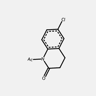 CC(=O)N1C(=O)CCc2cc(Cl)ccc21